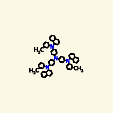 Cc1cccc(N(c2ccc(N(c3ccc(N(c4cccc(C)c4)c4cccc5ccccc45)cc3)c3ccc(N(c4cccc(C)c4)c4cccc5ccccc45)cc3)cc2)c2cccc3ccccc23)c1